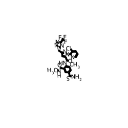 CNC(=O)c1cc(C(N)=S)cc(C)c1NC(=O)c1cc(Cn2nnc(C(F)(F)F)n2)nn1-c1ncccc1Cl